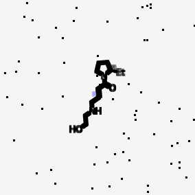 CC[C@@H]1CCCN1C(=O)/C=C/CNCCO